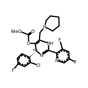 COC(=O)OC1=C(CN2CCCCC2)NC(c2ncc(F)cc2F)=N[C@@H]1c1ccc(F)cc1Cl